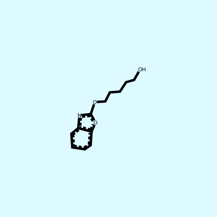 OCCCCCOc1nc2ccccc2o1